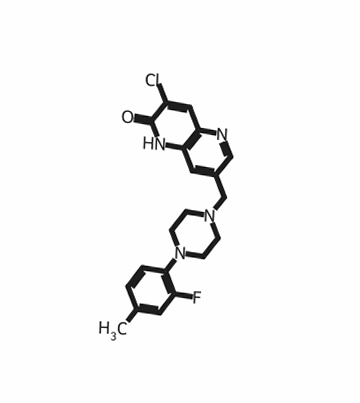 Cc1ccc(N2CCN(Cc3cnc4cc(Cl)c(=O)[nH]c4c3)CC2)c(F)c1